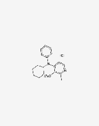 COc1c(N(c2ccccc2)C2CCCCC2)ccnc1C.Cl